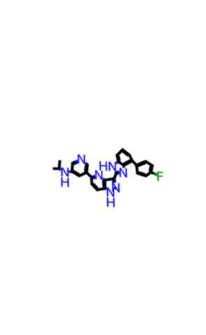 CC(C)Nc1cncc(-c2ccc3[nH]nc(-c4nc5c(-c6ccc(F)cc6)cccc5[nH]4)c3n2)c1